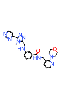 Cn1c(CNc2cccc(C(=O)NCc3cccnc3N3CCOCC3)c2)nnc1-c1ccncn1